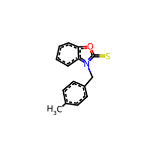 Cc1ccc(Cn2c(=S)oc3ccccc32)cc1